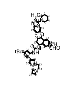 C[C@H]1CCCCN1c1nnc2ccc(O[C@@H]3CC[C@H](NC(=O)Nc4cc(C(C)(C)C)nn4-c4cnn(CCN5CCC5)c4)c4ccccc43)cn12.O=CO